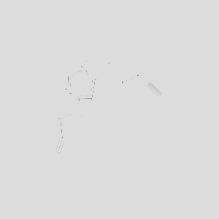 C#CCCOc1cc(OCC#C)ncn1